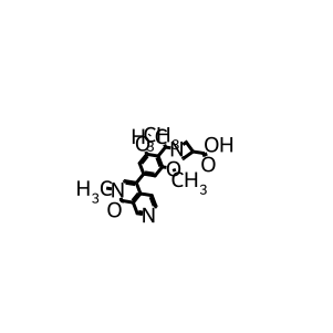 COc1cc(-c2cn(C)c(=O)c3cnccc23)cc(OC)c1C(C)N1CC(C(=O)O)C1